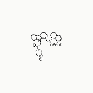 CCCCCN(Cc1nccc2c3ccccc3n(CC(=O)N3CC[S+]([O-])CC3)c12)C1CCCc2cccnc21